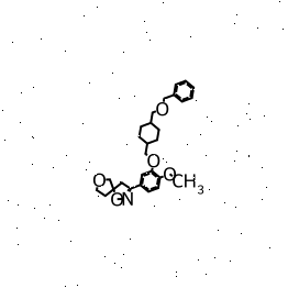 COc1ccc(C2=NOC3(CCOC3)C2)cc1OCC1CCC(COCc2ccccc2)CC1